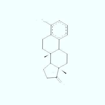 C[C@]12CC[C@@H]3c4cccc([N+](=O)[O-])c4CC[C@H]3[C@@H]1CCC2=O